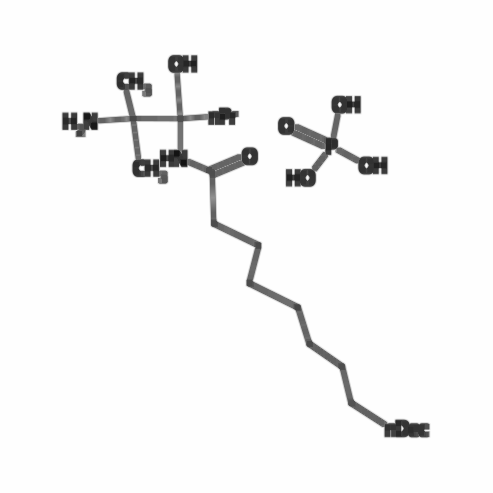 CCCCCCCCCCCCCCCCCC(=O)NC(O)(CCC)C(C)(C)N.O=P(O)(O)O